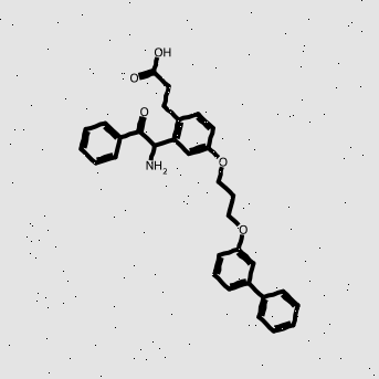 NC(C(=O)c1ccccc1)c1cc(OCCCOc2cccc(-c3ccccc3)c2)ccc1CCC(=O)O